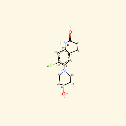 O=C1CCc2cc(N3CCC(O)CC3)c(F)cc2N1